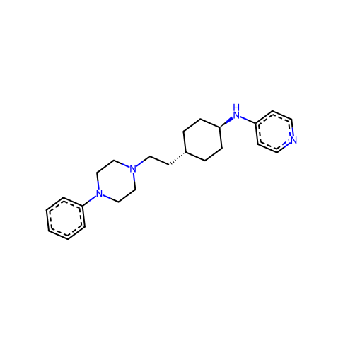 c1ccc(N2CCN(CC[C@H]3CC[C@H](Nc4ccncc4)CC3)CC2)cc1